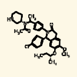 CC[C@@H](C)Oc1cc2c(cc1OC)CC(=O)N(c1ccc(C(C)N(C(C)=O)[C@H]3CCCNC3)cc1)[C@@H]2c1ccc(Cl)cc1